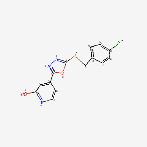 Oc1cc(-c2nnc(SCc3ccc(F)cc3)o2)ccn1